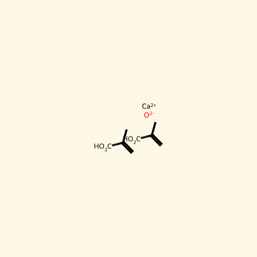 C=C(C)C(=O)O.C=C(C)C(=O)O.[Ca+2].[O-2]